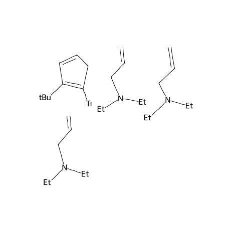 C=CCN(CC)CC.C=CCN(CC)CC.C=CCN(CC)CC.CC(C)(C)C1=[C]([Ti])CC=C1